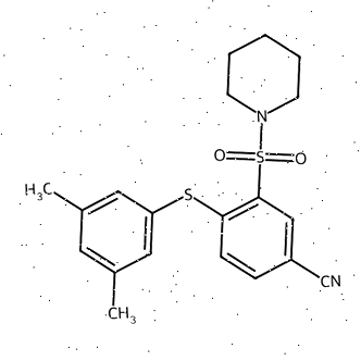 Cc1cc(C)cc(Sc2ccc(C#N)cc2S(=O)(=O)N2CCCCC2)c1